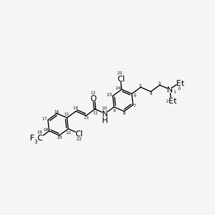 CCN(CC)CCCc1ccc(NC(=O)/C=C/c2ccc(C(F)(F)F)cc2Cl)cc1Cl